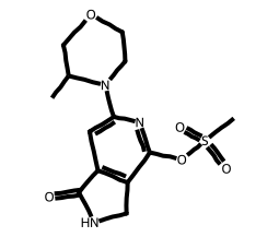 CC1COCCN1c1cc2c(c(OS(C)(=O)=O)n1)CNC2=O